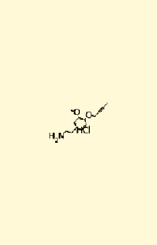 CC#CCOc1ccc(CCN)cc1OC.Cl